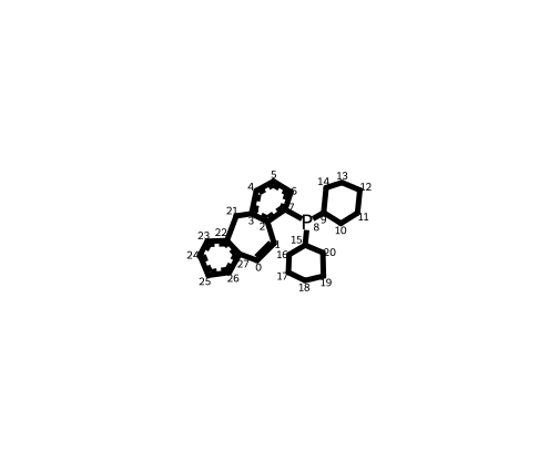 C1=Cc2c(cccc2P(C2CCCCC2)C2CCCCC2)Cc2ccccc21